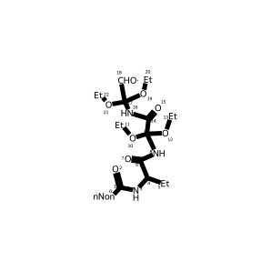 CCCCCCCCCC(=O)NC(CC)C(=O)NC(OCC)(OCC)C(=O)NC([C]=O)(OCC)OCC